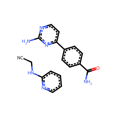 N#CCNc1ccccn1.NC(=O)c1ccc(-c2ccnc(N)n2)cc1